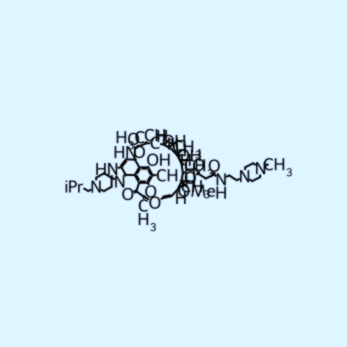 CO[C@H]1/C=C/O[C@@]2(C)Oc3c(C)c(O)c4c(c3C2=O)C2=NC3(CCN(CC(C)C)CC3)NC2=C(NC(=O)C(C)(C)C[C@H](O)[C@@H](C)[C@@H](O)[C@@H](C)[C@H](OC(=O)CC(=O)NCCN2CCN(C)CC2)[C@@H]1C)C4=O